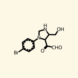 O=CC(=O)C1C(CO)NCN1c1ccc(Br)cc1